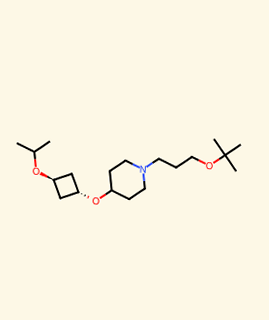 CC(C)O[C@H]1C[C@H](OC2CCN(CCCOC(C)(C)C)CC2)C1